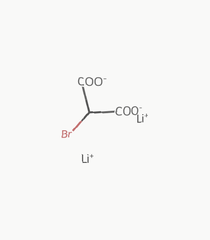 O=C([O-])C(Br)C(=O)[O-].[Li+].[Li+]